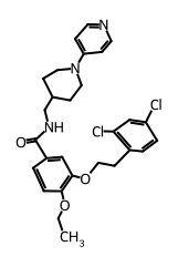 CCOc1ccc(C(=O)NCC2CCN(c3ccncc3)CC2)cc1OCCc1ccc(Cl)cc1Cl